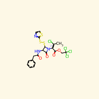 C/C(Cl)=C(\C(=O)OCC(Cl)(Cl)Cl)N1C(=O)C(NC(=O)Cc2ccccc2)C1SSc1nccs1